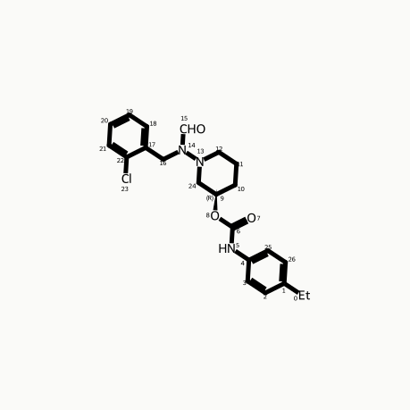 CCc1ccc(NC(=O)O[C@@H]2CCCN(N(C=O)Cc3ccccc3Cl)C2)cc1